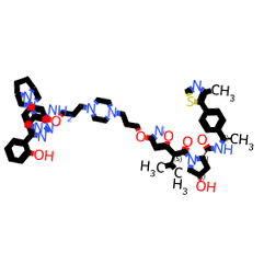 Cc1ncsc1-c1ccc([C@H](C)NC(=O)[C@@H]2C[C@@H](O)CN2C(=O)[C@H](c2cc(OCCCN3CCN(CCCOc4cc(N5C6CCC5CN(c5cc(-c7ccccc7O)nnc5N)C6)ccn4)CC3)no2)C(C)C)cc1